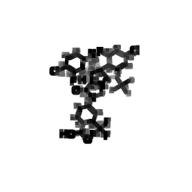 CC(C)(C)C[C@@H]1N2CN(c3ccc(C(=O)O)c(C(F)(F)F)c3)C(=O)[C@H]2[C@H](c2cccc(Cl)c2F)[C@@]1(C#N)c1ccc(Cl)cc1F